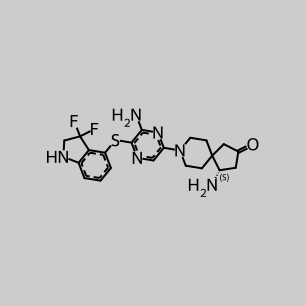 Nc1nc(N2CCC3(CC2)CC(=O)C[C@@H]3N)cnc1Sc1cccc2c1C(F)(F)CN2